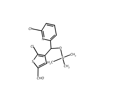 C[Si](C)(C)OC(c1cccc(Cl)n1)c1cc(C=O)sc1Cl